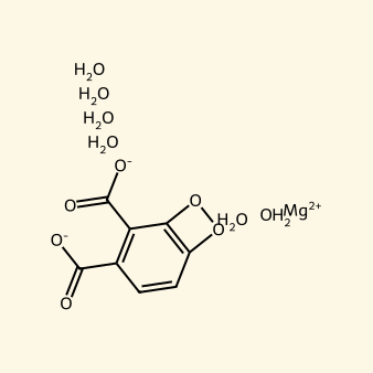 O.O.O.O.O.O.O=C([O-])c1ccc2ooc2c1C(=O)[O-].[Mg+2]